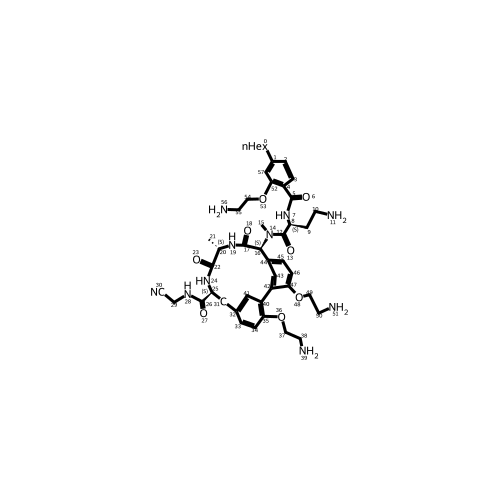 CCCCCCc1ccc(C(=O)N[C@@H](CCN)C(=O)N(C)[C@@H]2C(=O)N[C@@H](C)C(=O)N[C@H](C(=O)NCC#N)Cc3ccc(OCCN)c(c3)-c3cc2ccc3OCCN)c(OCCN)c1